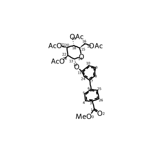 COC(=O)c1ccc(-c2cccc(O[C@H]3O[C@H](COC(C)=O)[C@@H](OC(C)=O)[C@H](OC(C)=O)[C@@H]3OC(C)=O)c2)cc1